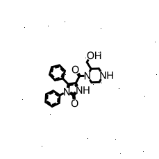 O=C(c1[nH]c(=O)n(-c2ccccc2)c1-c1ccccc1)N1CCNCC1CO